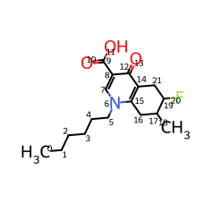 CCCCCCn1cc(C(=O)O)c(=O)c2c1CC(C)C(F)C2